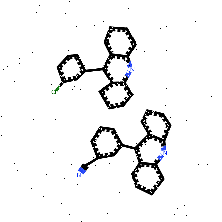 Clc1cccc(-c2c3ccccc3nc3ccccc23)c1.N#Cc1cccc(-c2c3ccccc3nc3ccccc23)c1